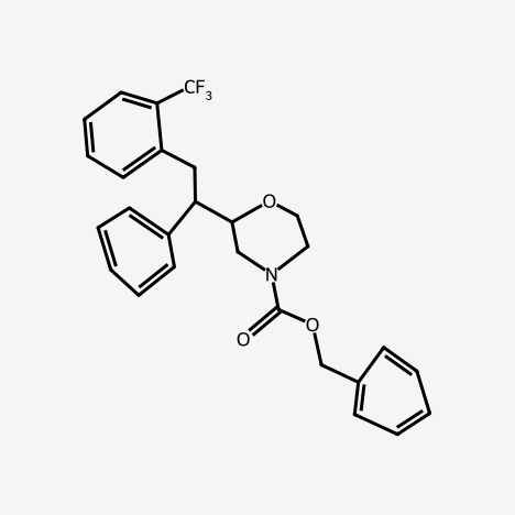 O=C(OCc1ccccc1)N1CCOC(C(Cc2ccccc2C(F)(F)F)c2ccccc2)C1